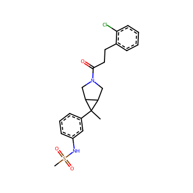 CC1(c2cccc(NS(C)(=O)=O)c2)C2CN(C(=O)CCc3ccccc3Cl)CC21